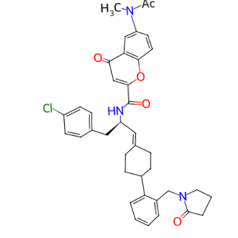 CC(=O)N(C)c1ccc2oc(C(=O)N[C@@H](C=C3CCC(c4ccccc4CN4CCCC4=O)CC3)Cc3ccc(Cl)cc3)cc(=O)c2c1